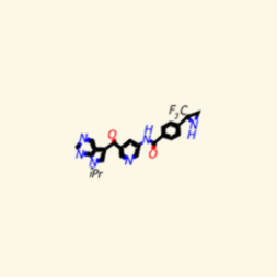 CC(C)n1cc(C(=O)c2cncc(NC(=O)c3ccc(C4(C(F)(F)F)CN4)cc3)c2)c2cncnc21